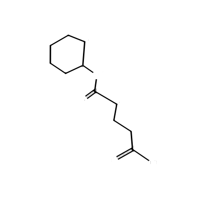 CC(C)C(=O)CCCC(=O)OC1CCCCC1